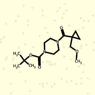 COCC1(C(=O)N2CCN(C(=O)OC(C)(C)C)CC2)CC1